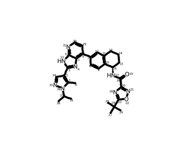 Cc1c(-c2nc3c(-c4ccc5c(c4)CCC[C@H]5NC(=O)c4noc(C(C)(C)C)n4)ccnc3[nH]2)cnn1C(C)C